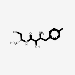 CC(C)C[C@H](NC(=O)C(O)C(N)Cc1ccc(F)cc1)C(=O)O